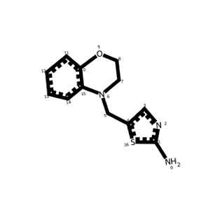 Nc1ncc(CN2CCOc3ccccc32)s1